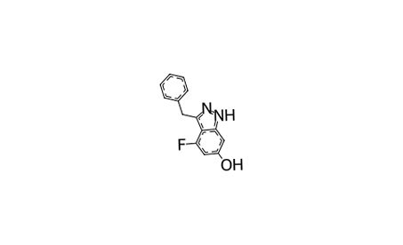 Oc1cc(F)c2c(Cc3ccccc3)n[nH]c2c1